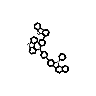 c1ccc(-n2c3cc(-c4ccc(N(c5ccc(-c6cccc7c6oc6ccccc67)cc5)c5cccc6oc7ccccc7c56)cc4)ccc3c3ccc4ccccc4c32)cc1